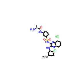 COc1ccc(Cl)c(Nc2nc3ccccc3nc2NS(=O)(=O)c2cccc(NC(=O)[C@H](C)N)c2)c1.Cl